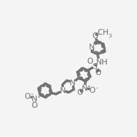 COc1ccc(NS(=O)(=O)c2ccc(N3CCN(Cc4cccc([N+](=O)[O-])c4)CC3)c([N+](=O)[O-])c2)cn1